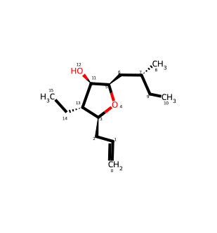 C=CC[C@@H]1O[C@H](C[C@H](C)CC)[C@H](O)[C@H]1CC